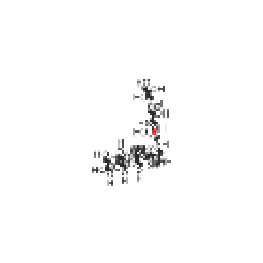 O=C(O)CCS.O=C(O)CCS.O=C(O)CCS.O=C(O)CCS.OC[C@@H](O)[C@@H](O)CO.OC[C@@H](O)[C@@H](O)CO.OC[C@@H](O)[C@@H](O)CO.OC[C@@H](O)[C@@H](O)CO.OC[C@@H](O)[C@@H](O)CO